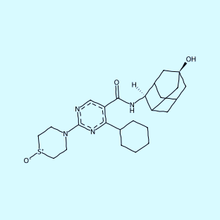 O=C(N[C@H]1C2CC3CC1C[C@@](O)(C3)C2)c1cnc(N2CC[S+]([O-])CC2)nc1C1CCCCC1